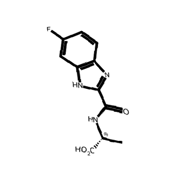 C[C@@H](NC(=O)c1nc2ccc(F)cc2[nH]1)C(=O)O